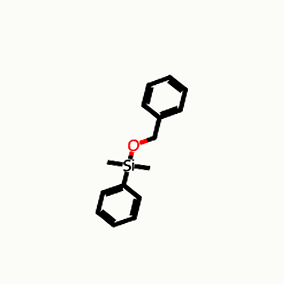 C[Si](C)(OCc1ccccc1)c1ccccc1